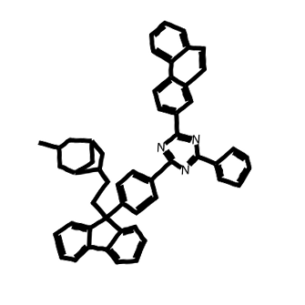 CC1CC2CC(CCC3(c4ccc(-c5nc(-c6ccccc6)nc(-c6ccc7c(ccc8ccccc87)c6)n5)cc4)c4ccccc4-c4ccccc43)C(C1)C2